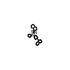 C1=CC2=CC=C3N=C(N(c4ccccc4)c4ccc(-c5cccc6ccccc56)cc4)OC3C2C=C1